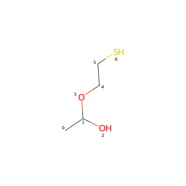 CC(O)OCCS